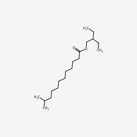 CCC(CC)COC(=O)CCCCCCCCCC(C)C